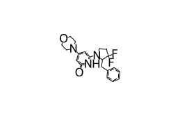 O=c1cc(N2CCOCC2)cc(N2CCC(F)(F)C2Cc2ccccc2)[nH]1